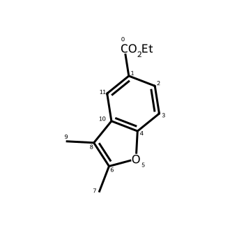 CCOC(=O)c1ccc2oc(C)c(C)c2c1